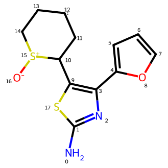 Nc1nc(-c2ccco2)c(C2C[C]CC[S+]2[O-])s1